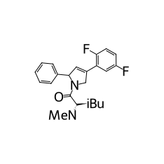 CC[C@H](C)[C@H](NC)C(=O)N1CC(c2cc(F)ccc2F)=CC1c1ccccc1